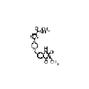 CCn1c(=O)[nH]c2cc(CN3CCN(c4ncc(C(=O)NC)s4)CC3)ccc2c1=O